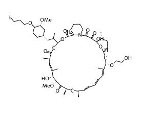 CO[C@@H]1C[C@H](CC(C)C2CC(=O)[C@H](C)/C=C(\C)[C@@H](O)[C@@H](OC)C(=O)[C@H](C)C[C@H](C)/C=C/C=C/C=C(\C)[C@@H](OCCO)C[C@@H]3CC[C@@H](C)[C@@](O)(O3)C(=O)C(=O)N3CCCC[C@H]3C(=O)O2)CC[C@H]1OCCCI